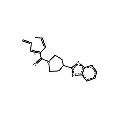 C=C/C=C(\C=C/C)C(=O)N1CCC(c2nc3ccccc3s2)CC1